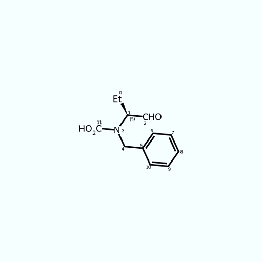 CC[C@@H](C=O)N(Cc1ccccc1)C(=O)O